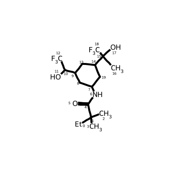 CCC(C)(C)C(=O)NC1CC(C(O)C(F)(F)F)CC(C(C)(O)C(F)(F)F)C1